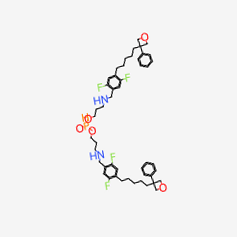 O=[PH](OCCCNCc1cc(F)c(CCCCCC2(c3ccccc3)COC2)cc1F)OCCCNCc1cc(F)c(CCCCCC2(c3ccccc3)COC2)cc1F